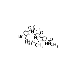 CNC(=O)c1ccc(-n2c(NC(C)C)nc3c(c2=O)C[C@@H](C)N(C(=O)c2ccc(Br)c(C)c2F)C3)cc1